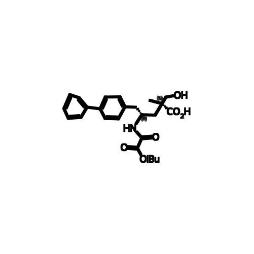 CC(C)COC(=O)C(=O)N[C@H](Cc1ccc(-c2ccccc2)cc1)C[C@@](C)(CO)C(=O)O